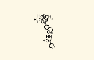 CC1(C)OB(c2ccc3c(c2)CC[C@H](CNC[C@H](O)c2cccnc2)O3)OC1(C)C